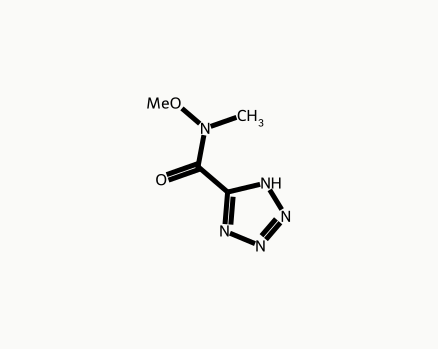 CON(C)C(=O)c1nnn[nH]1